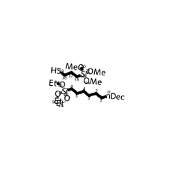 CCCCCCCCCCCCCCCC[Si](OCC)(OCC)OCC.CO[Si](CCCS)(OC)OC